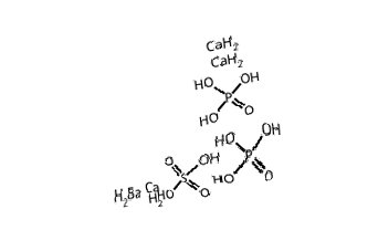 O=P(O)(O)O.O=P(O)(O)O.O=S(=O)(O)O.[BaH2].[CaH2].[CaH2].[CaH2]